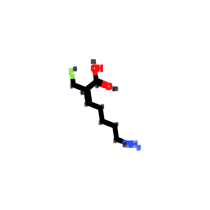 NCCCC/C=C(/CF)C(=O)O